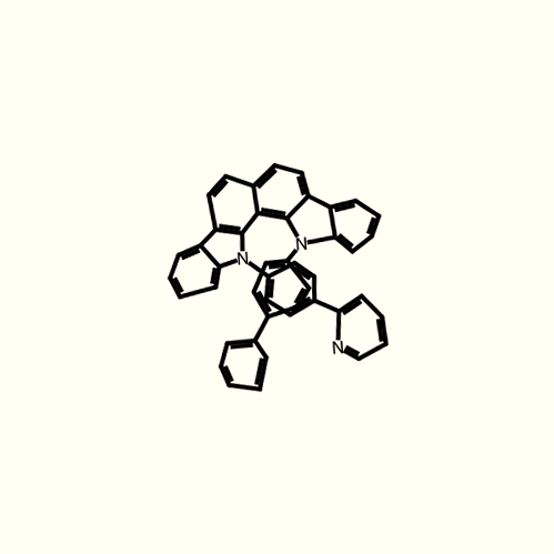 c1ccc(-c2ccc(-n3c4ccccc4c4ccc5ccc6c7ccccc7n(-c7ccc(-c8ccccn8)cc7)c6c5c43)cc2)cc1